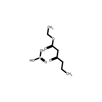 CCCC(=O)CC(=O)OCC.O=S(O)O